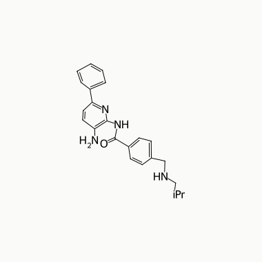 CC(C)CNCc1ccc(C(=O)Nc2nc(-c3ccccc3)ccc2N)cc1